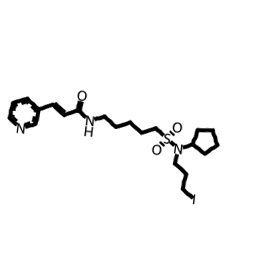 O=C(/C=C/c1cccnc1)NCCCCCS(=O)(=O)N(CCCI)C1CCCC1